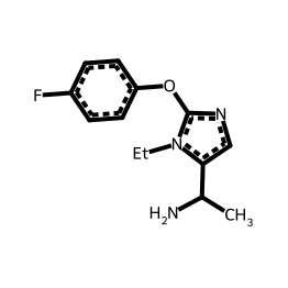 CCn1c(C(C)N)cnc1Oc1ccc(F)cc1